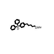 COCCCCCc1ccc(P(=O)(c2ccccc2)c2ccccc2)cc1